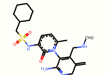 C=C1CN=C(N)C(n2c(C)ccc(NS(=O)(=O)CC3CCCCC3)c2=O)=C1CNC=O